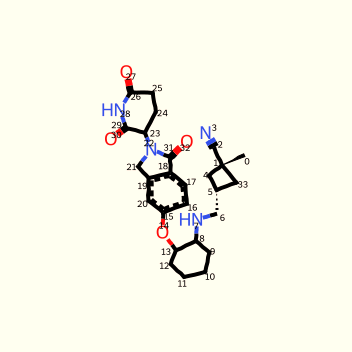 C[C@]1(C#N)C[C@@H](CNC2CCCCC2Oc2ccc3c(c2)CN(C2CCC(=O)NC2=O)C3=O)C1